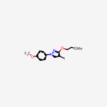 COCCOc1nn(-c2ccc(OC(F)(F)F)cc2)cc1I